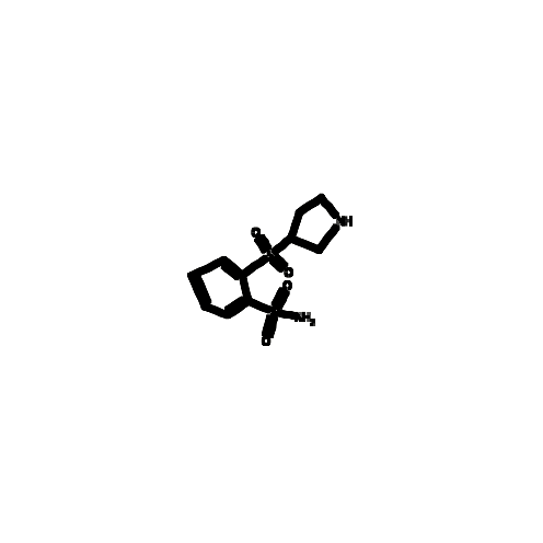 NS(=O)(=O)c1ccccc1S(=O)(=O)C1CCNC1